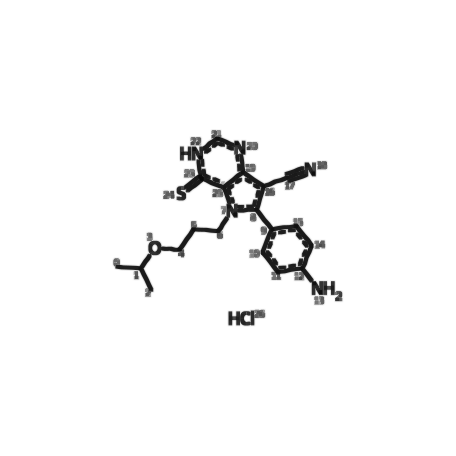 CC(C)OCCCn1c(-c2ccc(N)cc2)c(C#N)c2nc[nH]c(=S)c21.Cl